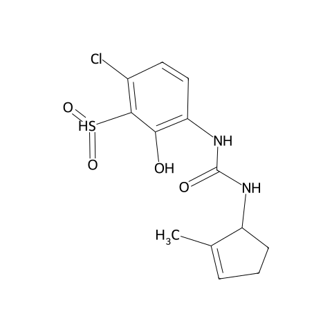 CC1=CCCC1NC(=O)Nc1ccc(Cl)c([SH](=O)=O)c1O